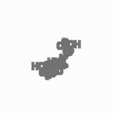 CCOP(=O)(OCC)C(NC(=O)/N=C/c1ccc(O)c(C(=O)OC)c1)c1ccc(O)c(C(=O)OC)c1